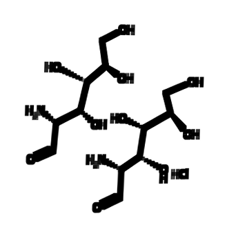 Cl.N[C@@H](C=O)[C@@H](O)[C@H](O)[C@H](O)CO.N[C@@H](C=O)[C@@H](O)[C@H](O)[C@H](O)CO